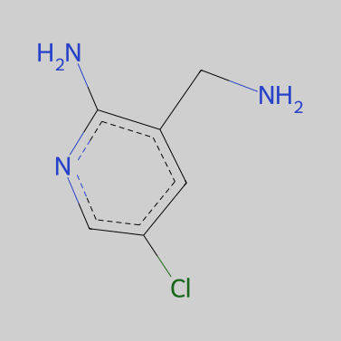 NCc1cc(Cl)cnc1N